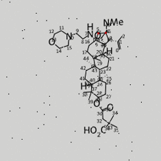 C=C(C)[C@H]1CC[C@]2(NCCN3CCOCC3)CCC3(C)[C@@H](CCC4[C@@]5(C)CC[C@H](OC(=O)CC(C)(C)C(=O)O)C(C)(C)[C@@H]5CC[C@]43C)[C@]12C(=O)CNC